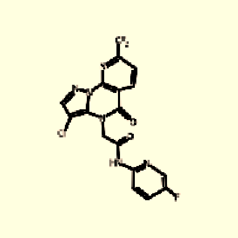 O=C(Cn1c(=O)c2ccc(C(F)(F)F)nc2n2ncc(Cl)c12)Nc1ccc(F)cn1